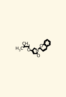 CC(C)COC1=CC(=O)N(C2C=Cc3ccccc3O2)C1